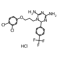 Cl.NC1=NC(c2ccc(C(F)(F)F)cc2)N(CCCOc2ccc(Cl)c(Cl)c2)C(N)=N1